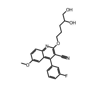 COc1ccc2nc(OCCCC(O)CO)c(C#N)c(-c3cccc(F)c3)c2c1